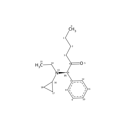 CCCCC(=O)[C@@H](c1ccccc1)N(CC)C1CC1